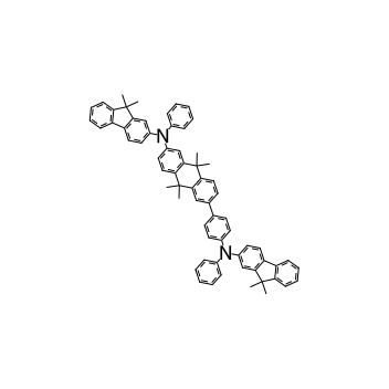 CC1(C)c2ccccc2-c2ccc(N(c3ccccc3)c3ccc(-c4ccc5c(c4)C(C)(C)c4ccc(N(c6ccccc6)c6ccc7c(c6)C(C)(C)c6ccccc6-7)cc4C5(C)C)cc3)cc21